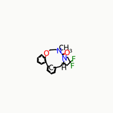 CN1CCOc2ccccc2-c2cccc(c2)C[C@H]2CC(F)(F)CN2C1=O